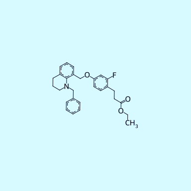 CCOC(=O)CCc1ccc(OCc2cccc3c2N(Cc2ccccc2)CCC3)cc1F